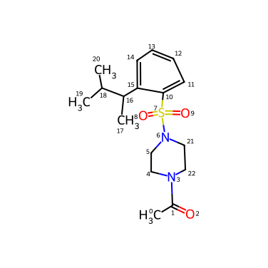 CC(=O)N1CCN(S(=O)(=O)c2ccccc2C(C)C(C)C)CC1